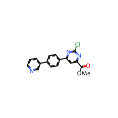 COC(=O)c1cc(-c2ccc(-c3cccnc3)cc2)nc(Cl)n1